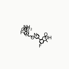 CC(C)c1cc(F)cc(-c2ccnc(OCCn3cc(F)c(S(N)(=O)=O)n3)c2)c1CC(=O)O